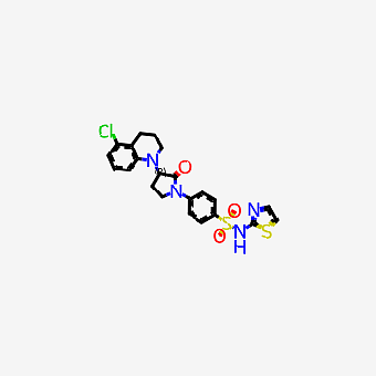 O=C1[C@H](N2CCCc3c(Cl)cccc32)CCN1c1ccc(S(=O)(=O)Nc2nccs2)cc1